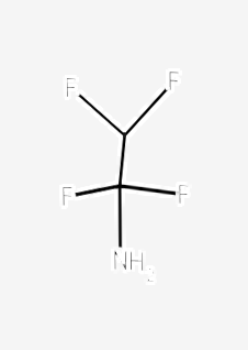 NC(F)(F)C(F)F